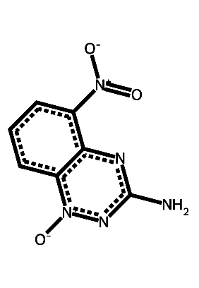 Nc1nc2c([N+](=O)[O-])cccc2[n+]([O-])n1